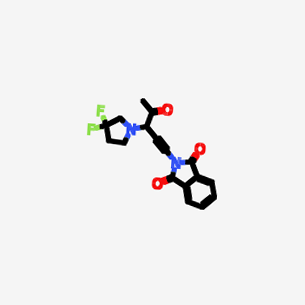 CC(=O)C(C#CN1C(=O)c2ccccc2C1=O)N1CCC(F)(F)C1